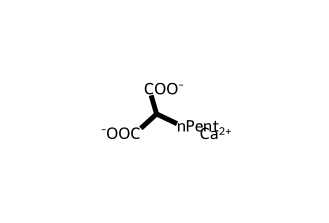 CCCCCC(C(=O)[O-])C(=O)[O-].[Ca+2]